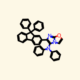 c1ccc(N(c2ccccc2)c2c(-c3ccc4c(c3)C(c3ccccc3)(c3ccccc3)c3ccccc3-4)nc3occn23)cc1